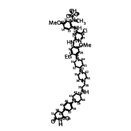 CCc1cc(Nc2ncc(Cl)c(Nc3ccc(OC)cc3N(C)S(C)(=O)=O)n2)c(OC)cc1N1CCC(N2CCN(CCNC3CCN(c4ccc(C5CCC(=O)NC5=O)cc4)CC3)CC2)CC1